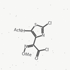 CO/N=C(\C(=O)Cl)c1nc(Cl)sc1NC(C)=O